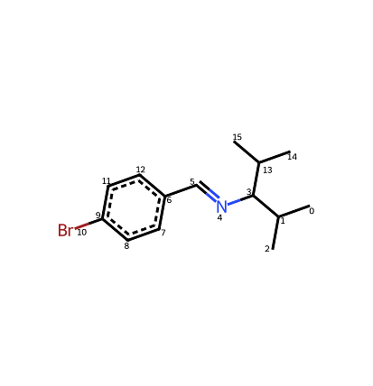 CC(C)C(/N=C/c1ccc(Br)cc1)C(C)C